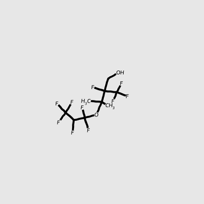 CC(C)(OC(F)(F)C(F)C(F)(F)F)C(F)(CO)C(F)(F)F